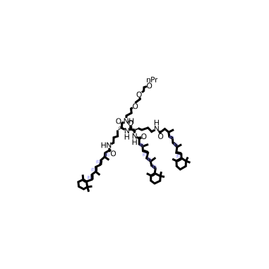 CCCOCCOCCOCCCNC(=O)[C@@H](CCCCNC(=O)/C=C(C)/C=C/C=C(C)/C=C/C1=C(C)CCCC1(C)C)NC(=O)[C@@H](CCCCNC(=O)CC(C)/C=C/C=C(C)/C=C/C1=C(C)CCCC1(C)C)NC(=O)/C=C(C)/C=C/C=C(C)/C=C/C1=C(C)CCCC1(C)C